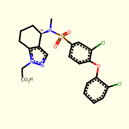 CN([C@@H]1CCCc2c1cnn2CC(=O)O)S(=O)(=O)c1ccc(Oc2ccccc2Cl)c(Cl)c1